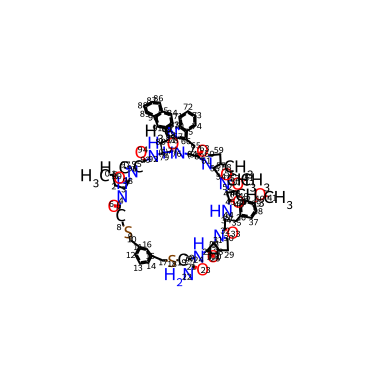 CCCC1NC(=O)CCSCc2cccc(c2)CSC[C@@H](C(N)=O)NC(=O)[C@@H]2CCCN2C(=O)[C@H](Cc2ccc(OC)cc2)NC(=O)C([C@@H](C)OC)N(C)C(=O)C2C(C)CCN2C(=O)[C@H](Cc2cn(C)c3ccccc23)NC(=O)[C@H](CCc2ccc3ccccc3c2)NC(=O)CN(C)C1=O